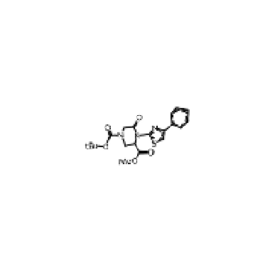 COC(=O)C1CN(C(=O)OC(C)(C)C)CC(=O)N1c1nc(-c2ccccc2)cs1